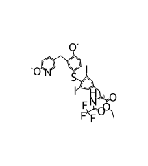 CCOC(=O)[C@H](Cc1cc(I)c(Sc2ccc(OC)c(Cc3ccc(OC)nc3)c2)c(I)c1)NC(=O)C(F)(F)F